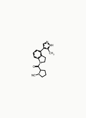 Cc1[nH]ncc1-c1cccc2c1CCN2C(=O)C1CCCN1C#N